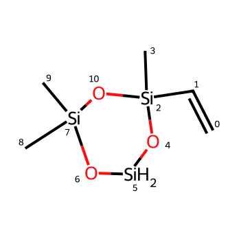 C=C[Si]1(C)O[SiH2]O[Si](C)(C)O1